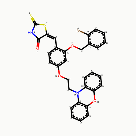 O=C1NC(=S)SC1=Cc1ccc(OCCN2c3ccccc3Oc3ccccc32)cc1OCc1ccccc1Br